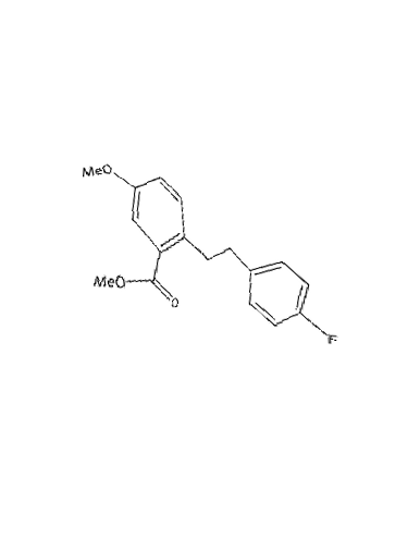 COC(=O)c1cc(OC)ccc1CCc1ccc(F)cc1